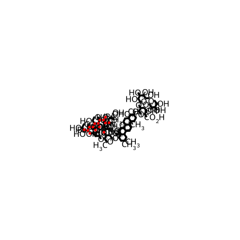 CC[C@H](C)[C@H](C[C@H](O)CC(=O)O[C@@H]1C(C)O[C@@H](OC(=O)[C@]23CCC(C)(C)CC2C2=CCC4[C@@]5(C)CC[C@H](O[C@@H]6OC(C(=O)O)[C@H](O)C(O[C@@H]7OC[C@@H](O)C(O)C7O)C6O[C@@H]6OC(CO)[C@H](O)C(O)C6O)[C@@](C)(C=O)C5CC[C@@]4(C)[C@]2(C)C[C@H]3O)C(O[C@@H]2OC(C)[C@H](O[C@H]3OCC(O)[C@H](O[C@H]4OCC(O)[C@H](O)C4O)C3O)C(O)C2O)C1O)OC(=O)C[C@@H](O)C[C@H](OC1(O)CO[C@@H](CO)C1O)[C@@H](C)CC